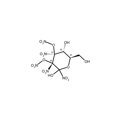 O=[N+]([O-])O[C@@]1([N+](=O)[O-])[C@H](O)[C@@H](CO)OC(O)([N+](=O)[O-])[C@@]1(O[N+](=O)[O-])[N+](=O)[O-]